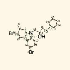 CC1Cc2c(c3cc(Br)ccc3n2CC(O)CSc2ccccc2)C=C1Br